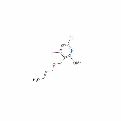 CC=CCOCc1c(I)cc(Cl)nc1OC